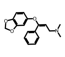 CN(C)CC=C(Oc1ccc2c(c1)OCO2)c1ccccc1